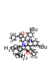 CC(C)(C)c1ccc(N2B3c4cc5occ(-c6ccccc6)c5cc4-n4c5cc6c(cc5c5c7oc8ccccc8c7c(c3c54)-c3cc(C(C)(C)C)ccc32)C(C)(C)CCC6(C)C)cc1